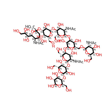 CC(=O)N[C@H]1[C@H](O[C@H]2[C@@H](O)[C@@H](CO)O[C@@H](O[C@H]3[C@H](O)[C@@H](O)[C@H](O)O[C@@H]3CO)[C@@H]2O)O[C@H](CO)[C@@H](O[C@@H]2O[C@H](CO[C@@H]3O[C@H](CO)[C@@H](O)[C@H](O)[C@H]3NC(C)=O)[C@H](O)[C@H](O[C@H]3O[C@H](CO)[C@@H](O[C@@H]4O[C@H](CO)[C@H](O)[C@H](O[C@]5(C(=O)O)C[C@H](O)[C@@H](NC(C)=O)[C@H]([C@H](O)[C@H](O)CO)O5)[C@H]4O)[C@H](O)[C@H]3NC(C)=O)[C@H]2O)[C@@H]1O